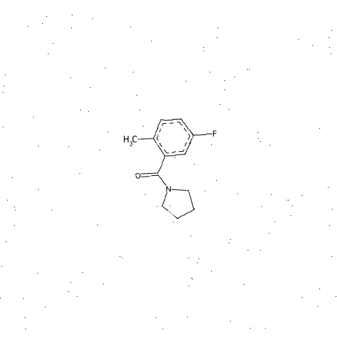 Cc1ccc(F)cc1C(=O)N1CCCC1